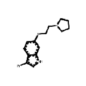 CC(C)c1c[nH]c2cc(OCCN3CCCC3)ccc12